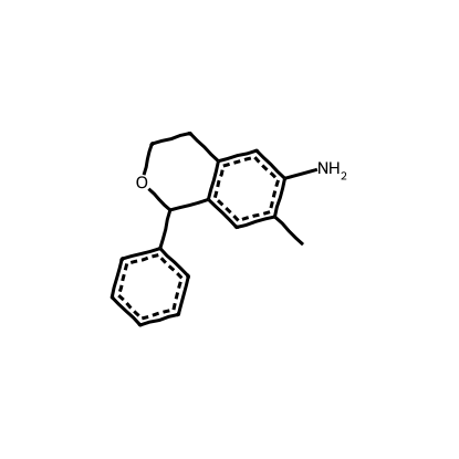 Cc1cc2c(cc1N)CCOC2c1ccccc1